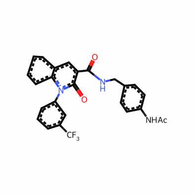 CC(=O)Nc1ccc(CNC(=O)c2cc3ccccc3n(-c3cccc(C(F)(F)F)c3)c2=O)cc1